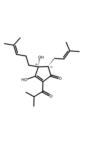 CC(C)=CCC[C@]1(O)C(O)=C(C(=O)C(C)C)C(=O)[C@H]1CC=C(C)C